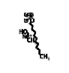 CCCCCCCCCCCCOS(=O)(=O)[O-].[CH2]CCO.[Na+]